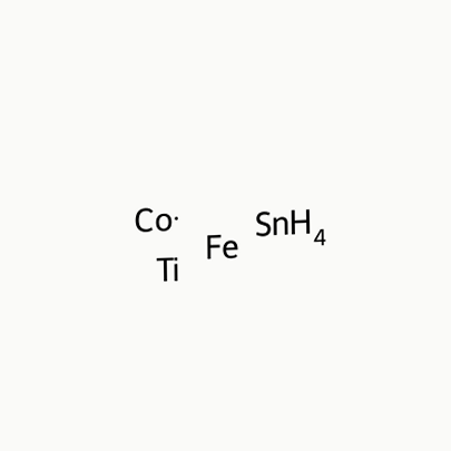 [Co].[Fe].[SnH4].[Ti]